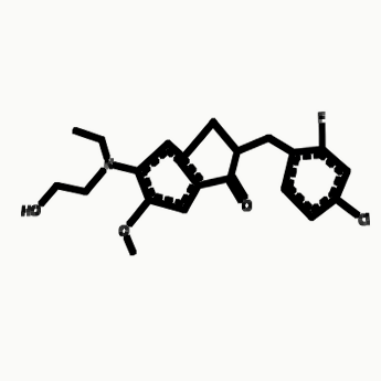 CCN(CCO)c1cc2c(cc1OC)C(=O)C(Cc1ccc(Cl)cc1F)C2